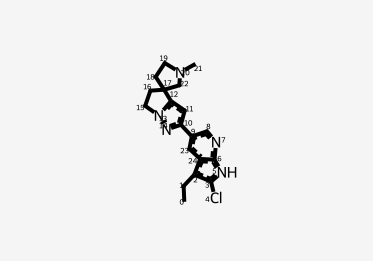 CCc1c(Cl)[nH]c2ncc(-c3cc4n(n3)CCC43CCN(C)C3)cc12